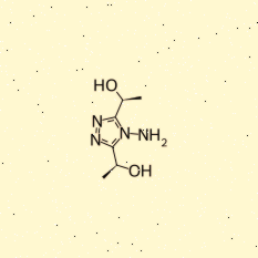 C[C@H](O)c1nnc([C@H](C)O)n1N